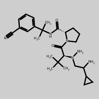 CC(C)(NC(=O)[C@@H]1CCCN1C(=O)[C@@H](N(N)CC(N)C1CC1)C(C)(C)C)c1cccc(C#N)c1